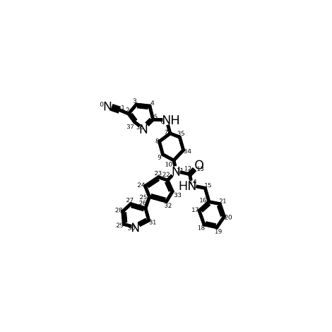 N#Cc1ccc(NC2CCC(N(C(=O)NCc3ccccc3)c3ccc(-c4cccnc4)cc3)CC2)nc1